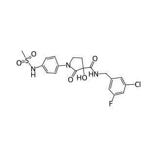 CS(=O)(=O)Nc1ccc(N2CCC(O)(C(=O)NCc3cc(F)cc(Cl)c3)C2=O)cc1